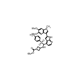 COc1cc2c(nc1OC)c(-c1cc3c(C(NC4CN(C(=O)OC(C)(C)C)C4)S(=O)(=O)c4ccc(C)cc4)ccnc3[nH]1)cn2C